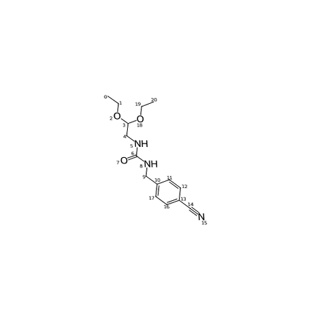 CCOC(CNC(=O)NCc1ccc(C#N)cc1)OCC